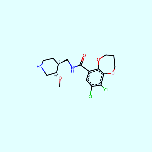 CO[C@@H]1CNCC[C@H]1CNC(=O)c1cc(Cl)c(Cl)c2c1OCCCO2